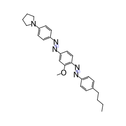 CCCCc1ccc(/N=N/c2ccc(/N=N/c3ccc(N4CCCC4)cc3)cc2OC)cc1